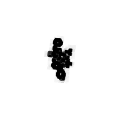 CC(C)C[C@@H](C(=O)O[C@H](Cc1ccc(C2CCOCC2)c(F)c1)C(=O)OCc1ccccc1)N(C)C(=O)OC(C)(C)C